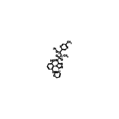 COc1cccc(O)c1-n1c(NS(=O)(=O)[C@@H](C)[C@@H](OC(C)C)c2cnc(C)cn2)nnc1[C@@H]1C=CCOC1